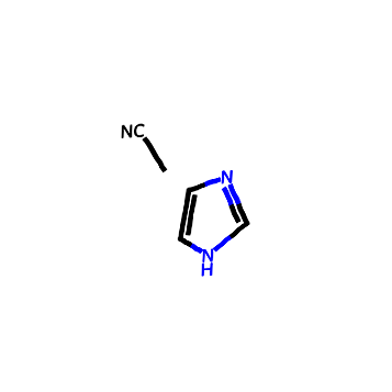 CC#N.c1c[nH]cn1